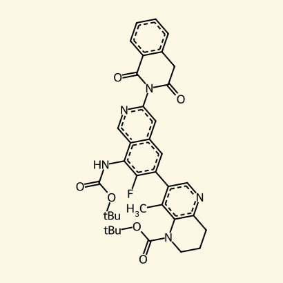 Cc1c(-c2cc3cc(N4C(=O)Cc5ccccc5C4=O)ncc3c(NC(=O)OC(C)(C)C)c2F)cnc2c1N(C(=O)OC(C)(C)C)CCC2